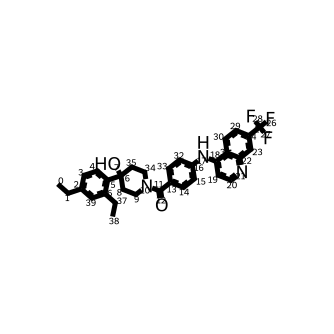 CCc1ccc(C2(O)CCN(C(=O)c3ccc(Nc4ccnc5cc(C(F)(F)F)ccc45)cc3)CC2)c(CC)c1